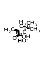 C=CC(=O)O.C[N+](C)(C)C.[OH-]